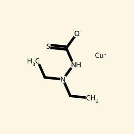 CCN(CC)NC([O-])=S.[Cu+]